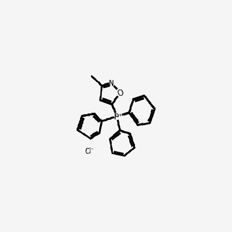 Cc1cc([P+](c2ccccc2)(c2ccccc2)c2ccccc2)on1.[Cl-]